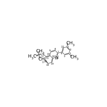 Cc1cc(C)cc(-c2ccc3c(CC(C)(C)C)cccc3n2)c1